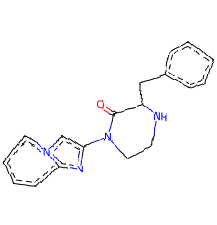 O=C1C(Cc2ccccc2)NCCN1c1cn2ccccc2n1